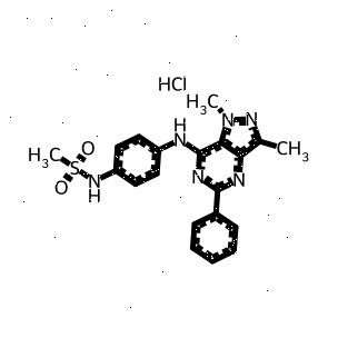 Cc1nn(C)c2c(Nc3ccc(NS(C)(=O)=O)cc3)nc(-c3ccccc3)nc12.Cl